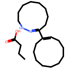 C1=C(C2=NNCCCCCCCC2)CCCCCCCCC1.CCCC(=O)O